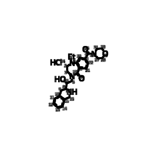 CCN1CCN(CC(O)C2Cc3ccccc3CN2)C(=O)c2ccc(C(=O)N3CCOCC3)cc21.Cl